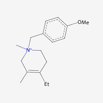 CCC1=C(C)C[N+](C)(Cc2ccc(OC)cc2)CC1